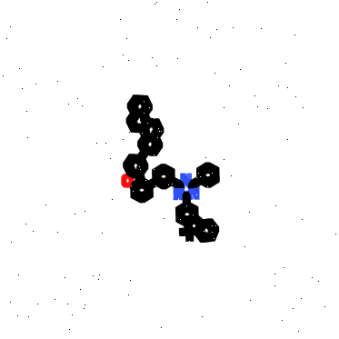 CC1(C)c2ccccc2-c2cc(-c3nc(-c4ccccc4)nc(-c4cccc(-c5cccc6oc7ccc(-c8ccc9ccc%10c%11ccccc%11ccc%10c9c8)cc7c56)c4)n3)ccc21